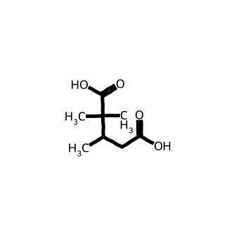 CC(CC(=O)O)C(C)(C)C(=O)O